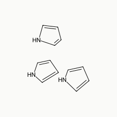 c1cc[nH]c1.c1cc[nH]c1.c1cc[nH]c1